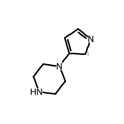 [C]1N=CC=C1N1CCNCC1